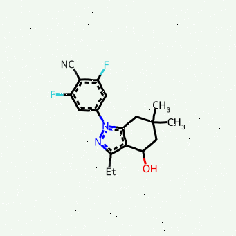 CCc1nn(-c2cc(F)c(C#N)c(F)c2)c2c1C(O)CC(C)(C)C2